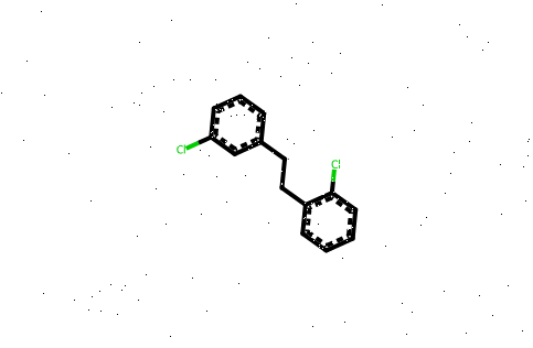 Clc1cccc([CH]Cc2ccccc2Cl)c1